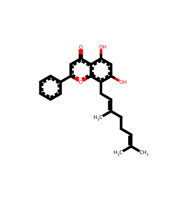 CC(C)=CCC/C(C)=C/Cc1c(O)cc(O)c2c(=O)cc(-c3ccccc3)oc12